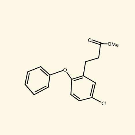 COC(=O)CCc1cc(Cl)ccc1Oc1ccccc1